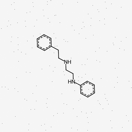 c1ccc(CCNCCNc2ccccc2)cc1